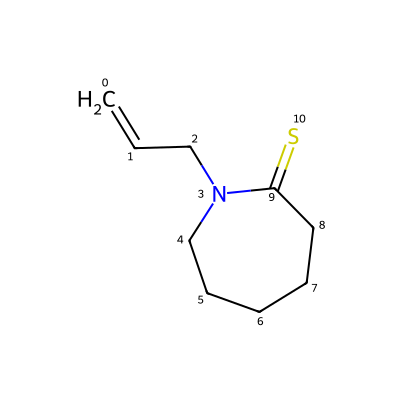 C=CCN1CCCCCC1=S